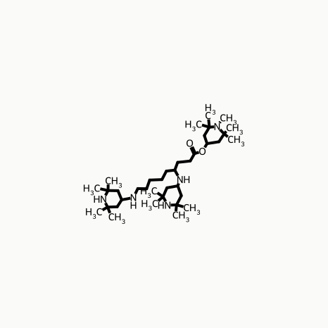 CN1C(C)(C)CC(OC(=O)CCC(CCCCCNC2CC(C)(C)NC(C)(C)C2)NC2CC(C)(C)NC(C)(C)C2)CC1(C)C